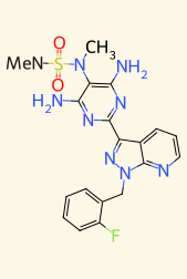 CNS(=O)(=O)N(C)c1c(N)nc(-c2nn(Cc3ccccc3F)c3ncccc23)nc1N